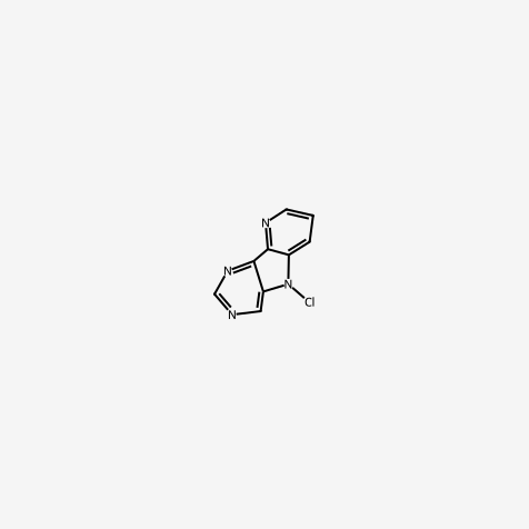 Cln1c2cccnc2c2ncncc21